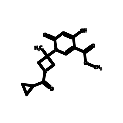 COC(=O)c1cn(C2(C)CN(C(=O)C3CC3)C2)c(=O)cc1O